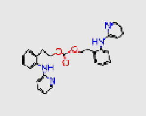 O=C(OCCc1ccccc1Nc1ccccn1)OCCc1ccccc1Nc1ccccn1